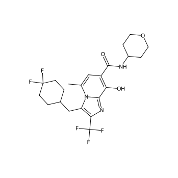 Cc1cc(C(=O)NC2CCOCC2)c(O)c2nc(C(F)(F)F)c(CC3CCC(F)(F)CC3)n12